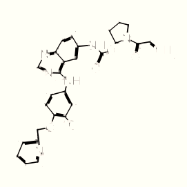 C=CC(=O)N1CCC[C@@H]1OC(=O)Nc1ccc2ncnc(Nc3ccc(OCc4ccccn4)c(Cl)c3)c2c1